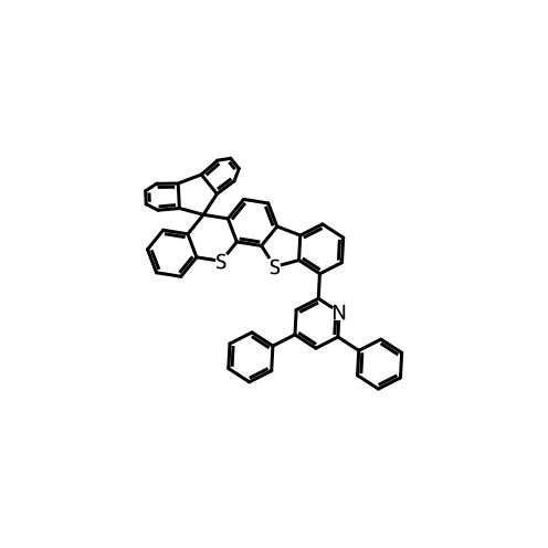 c1ccc(-c2cc(-c3ccccc3)nc(-c3cccc4c3sc3c5c(ccc34)C3(c4ccccc4S5)c4ccccc4-c4ccccc43)c2)cc1